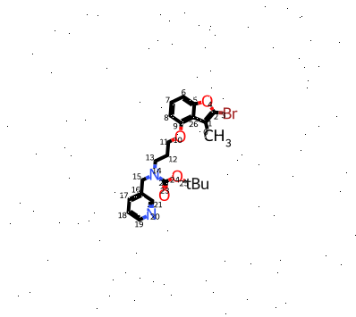 Cc1c(Br)oc2cccc(OCCCN(Cc3cccnc3)C(=O)OC(C)(C)C)c12